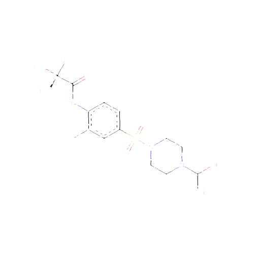 CC(O)N1CCN(S(=O)(=O)c2ccc(NC(=O)[C@@](C)(O)C(F)(F)F)c(Cl)c2)CC1